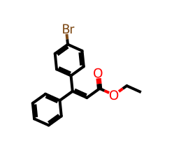 CCOC(=O)C=C(c1ccccc1)c1ccc(Br)cc1